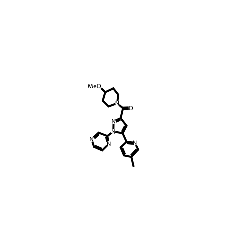 COC1CCN(C(=O)c2cc(-c3ccc(C)cn3)n(-c3cnccn3)n2)CC1